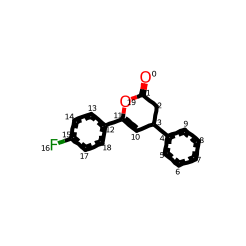 O=C1CC(c2ccccc2)C=C(c2ccc(F)cc2)O1